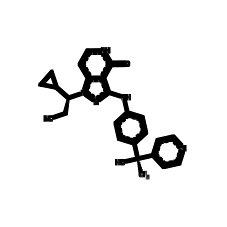 N#CC[C@@H](C1CC1)n1nc(Nc2ccc([C@](O)(c3ccncc3)C(F)(F)F)cc2)c2c(=O)[nH]ccc21